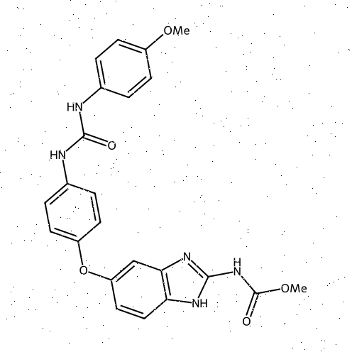 COC(=O)Nc1nc2cc(Oc3ccc(NC(=O)Nc4ccc(OC)cc4)cc3)ccc2[nH]1